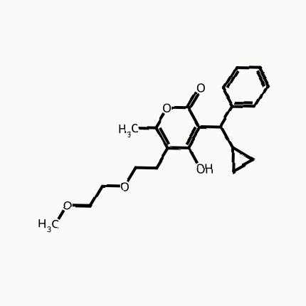 COCCOCCc1c(C)oc(=O)c(C(c2ccccc2)C2CC2)c1O